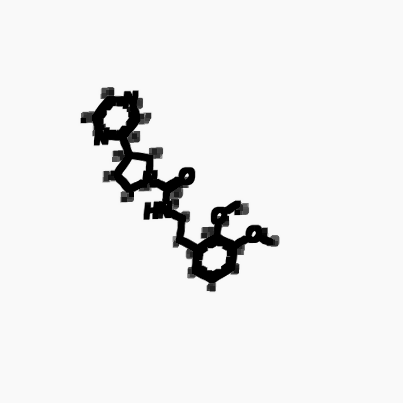 COc1cccc(CCNC(=O)N2CCC(c3cnccn3)C2)c1OC